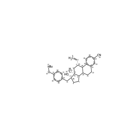 C=C[C@H]1C[C@@]2(C)C(CC[C@@]2(O)Cc2ccc(OCCCC)cc2)C2CCc3cc(C#N)ccc3C21